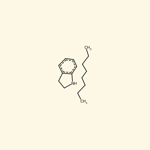 CCCCCCCC.c1ccc2c(c1)CCN2